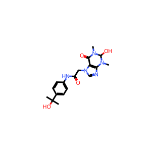 CN1C(=O)c2c(ncn2CC(=O)Nc2ccc(C(C)(C)O)cc2)N(C)C1O